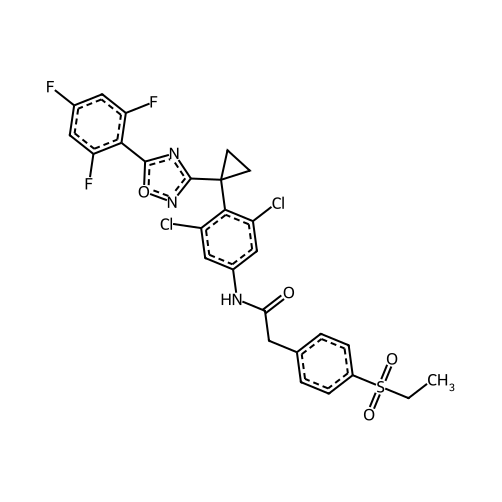 CCS(=O)(=O)c1ccc(CC(=O)Nc2cc(Cl)c(C3(c4noc(-c5c(F)cc(F)cc5F)n4)CC3)c(Cl)c2)cc1